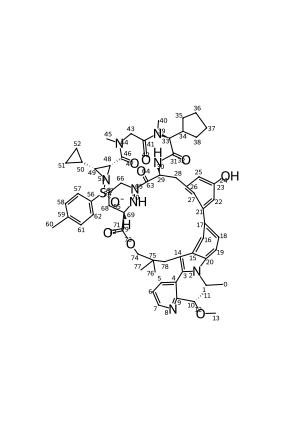 CCn1c(-c2cccnc2[C@H](C)OC)c2c3cc(ccc31)-c1cc(O)cc(c1)C[C@H](NC(=O)[C@H](C1CCCC1)N(C)C(=O)CN(C)C(=O)[C@H]1[C@@H](C3CC3)N1[S@+]([O-])c1ccc(C)cc1)C(=O)N1CCC[C@H](N1)C(=O)OCC(C)(C)C2